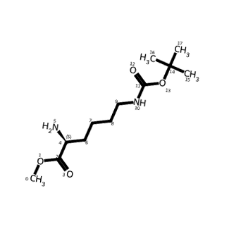 COC(=O)[C@@H](N)CCCCNC(=O)OC(C)(C)C